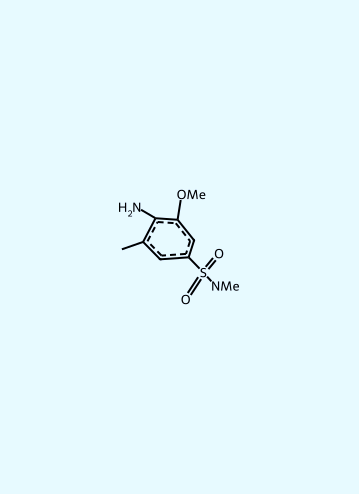 CNS(=O)(=O)c1cc(C)c(N)c(OC)c1